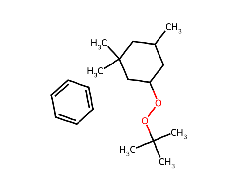 CC1CC(OOC(C)(C)C)CC(C)(C)C1.c1ccccc1